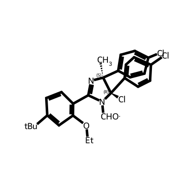 CCOc1cc(C(C)(C)C)ccc1C1=N[C@@](C)(c2ccc(Cl)cc2)[C@](Cl)(c2ccc(Cl)cc2)N1[C]=O